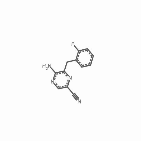 N#Cc1cnc(N)c(Cc2ccccc2F)n1